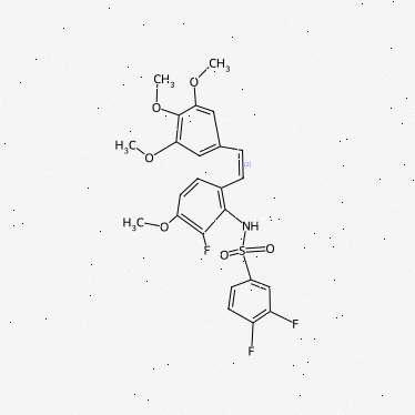 COc1ccc(/C=C\c2cc(OC)c(OC)c(OC)c2)c(NS(=O)(=O)c2ccc(F)c(F)c2)c1F